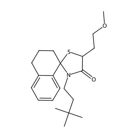 COCCC1SC2(CCCc3ccccc32)N(CCC(C)(C)C)C1=O